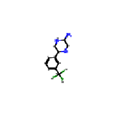 NC1CNC(c2cccc(C(F)(F)F)c2)CN1